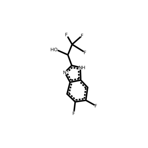 OC(c1nc2cc(F)c(F)cc2[nH]1)C(F)(F)F